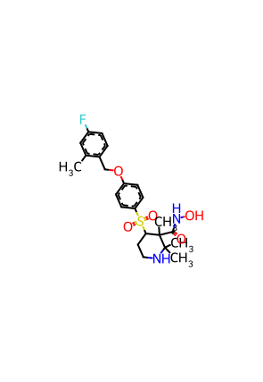 Cc1cc(F)ccc1COc1ccc(S(=O)(=O)C2CCNC(C)(C)C2(C)C(=O)NO)cc1